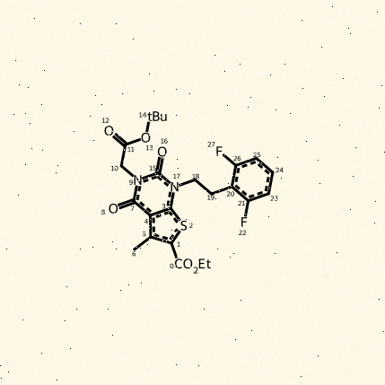 CCOC(=O)c1sc2c(c1C)c(=O)n(CC(=O)OC(C)(C)C)c(=O)n2CCc1c(F)cccc1F